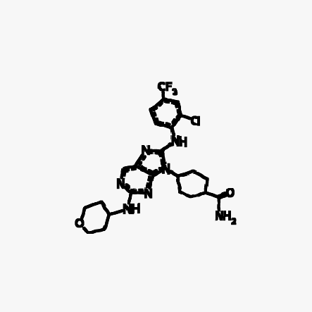 NC(=O)C1CCC(n2c(Nc3ccc(C(F)(F)F)cc3Cl)nc3cnc(NC4CCOCC4)nc32)CC1